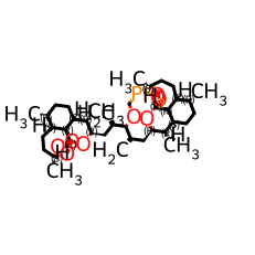 C=C(C[C@H]1O[C@@H]2O[C@]3(C)CC[C@H]4[C@H](C)CC[C@@H]([C@H]1C)[C@@]24OO3)C(OCP)C(=C)C[C@H]1O[C@@H]2O[C@]3(C)CC[C@H]4[C@H](C)CC[C@@H]([C@H]1C)[C@@]24OO3